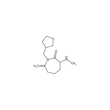 C=C1CCCC(NC)C(=O)N1CC1CCSC1